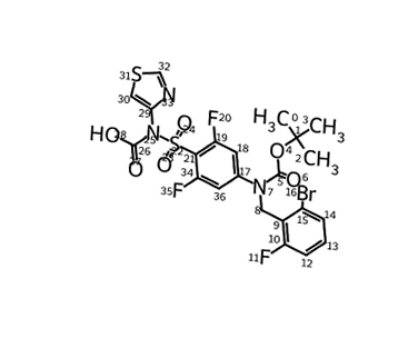 CC(C)(C)OC(=O)N(Cc1c(F)cccc1Br)c1cc(F)c(S(=O)(=O)N(C(=O)O)c2cscn2)c(F)c1